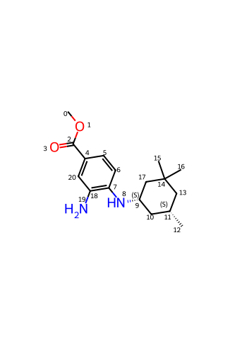 COC(=O)c1ccc(N[C@H]2C[C@@H](C)CC(C)(C)C2)c(N)c1